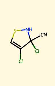 N#CC1(Cl)NSC=C1Cl